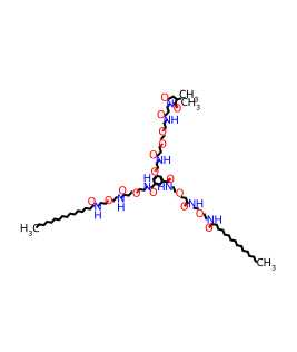 CCCCCCCCCCCCCCCC(=O)NCCOCCNC(=O)CCOCCNC(=O)c1cc(OCCNC(=O)CCOCCOCCNC(=O)CCN2C(=O)CC(C(C)C)C2=O)cc(C(=O)NCCOCCC(=O)NCCOCCNC(=O)CCCCCCCCCCCCCCC)c1